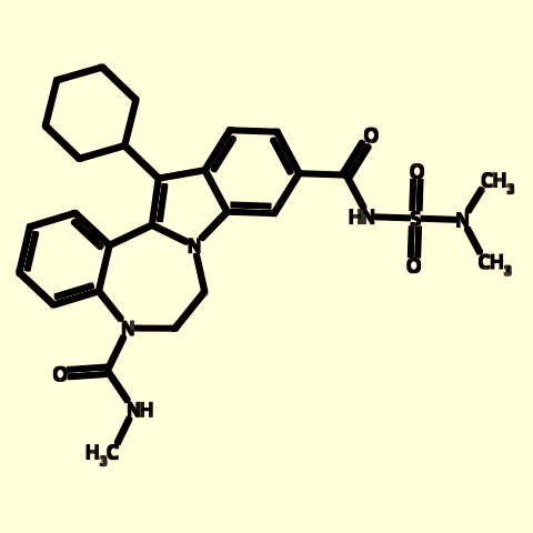 CNC(=O)N1CCn2c(c(C3CCCCC3)c3ccc(C(=O)NS(=O)(=O)N(C)C)cc32)-c2ccccc21